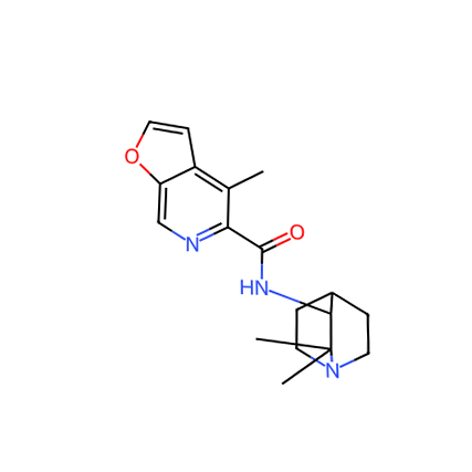 Cc1c(C(=O)NC2C3CCN(CC3)C2(C)C)ncc2occc12